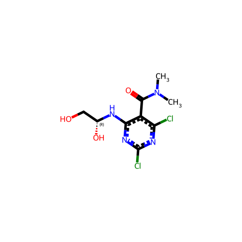 CN(C)C(=O)c1c(Cl)nc(Cl)nc1N[C@H](O)CO